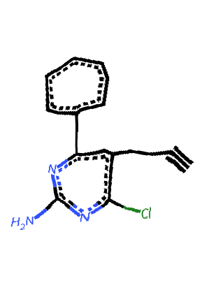 C#CCc1c(Cl)nc(N)nc1-c1ccccc1